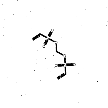 C=CS(=O)(=O)OCOS(=O)(=O)C=C